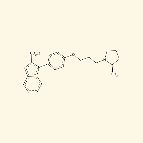 CCOC(=O)c1cc2ccccc2n1-c1ccc(OCCCN2CCC[C@H]2C)cc1